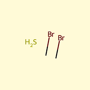 CBr.CBr.S